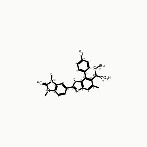 Cc1cc2nc(-c3ccc4c(c3)n(C)c(=O)n4C)sc2c(-c2ccc(Cl)cc2)c1C(OC(C)(C)C)C(=O)O